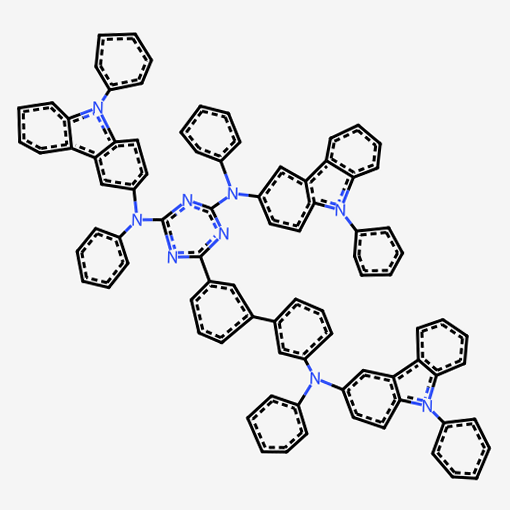 c1ccc(N(c2cccc(-c3cccc(-c4nc(N(c5ccccc5)c5ccc6c(c5)c5ccccc5n6-c5ccccc5)nc(N(c5ccccc5)c5ccc6c(c5)c5ccccc5n6-c5ccccc5)n4)c3)c2)c2ccc3c(c2)c2ccccc2n3-c2ccccc2)cc1